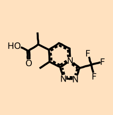 Cc1c(C(C)C(=O)O)ccn2c(C(F)(F)F)nnc12